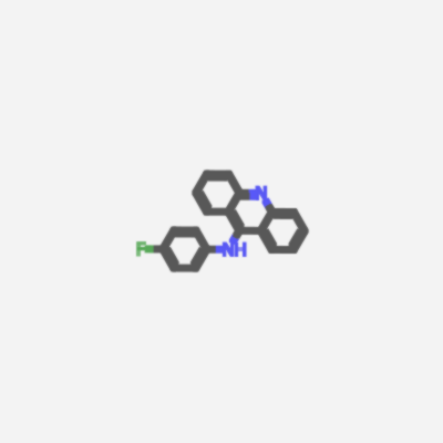 Fc1ccc(Nc2c3ccccc3nc3ccccc23)cc1